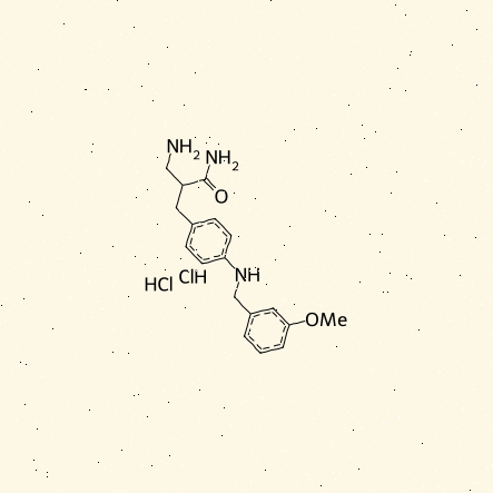 COc1cccc(CNc2ccc(CC(CN)C(N)=O)cc2)c1.Cl.Cl